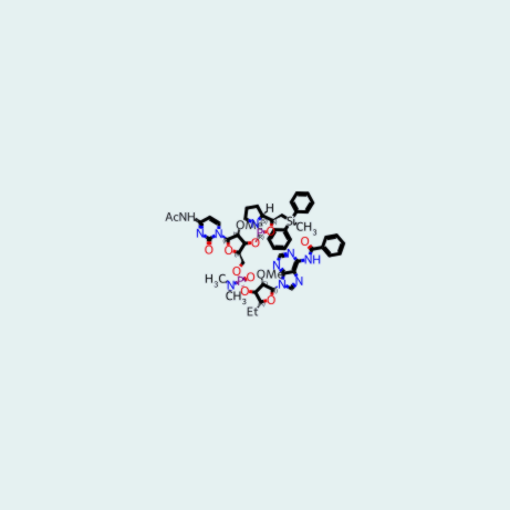 CC[C@H]1O[C@@H](n2cnc3c(NC(=O)c4ccccc4)ncnc32)[C@@H](OC)C1OP(=O)(OC[C@H]1O[C@@H](n2ccc(NC(C)=O)nc2=O)[C@@H](OC)C1O[P@@]1O[C@H](C[Si](C)(c2ccccc2)c2ccccc2)[C@@H]2CCCN21)N(C)C